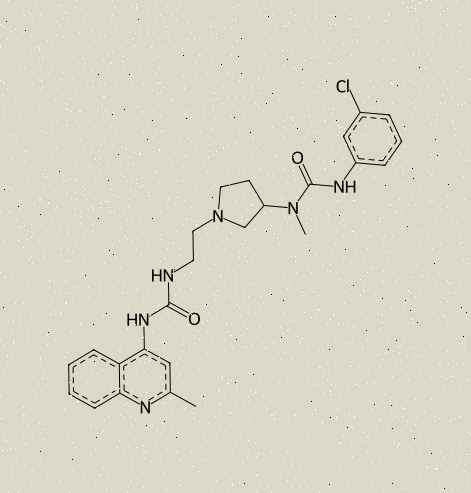 Cc1cc(NC(=O)NCCN2CCC(N(C)C(=O)Nc3cccc(Cl)c3)C2)c2ccccc2n1